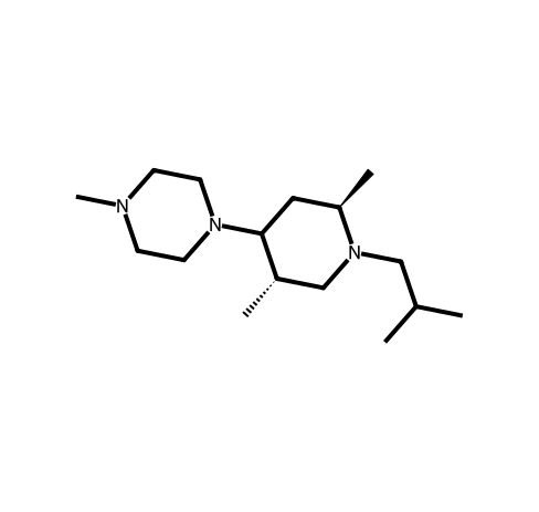 CC(C)CN1C[C@H](C)C(N2CCN(C)CC2)C[C@H]1C